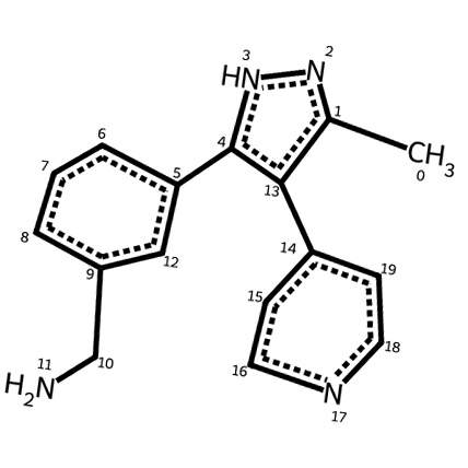 Cc1n[nH]c(-c2cccc(CN)c2)c1-c1ccncc1